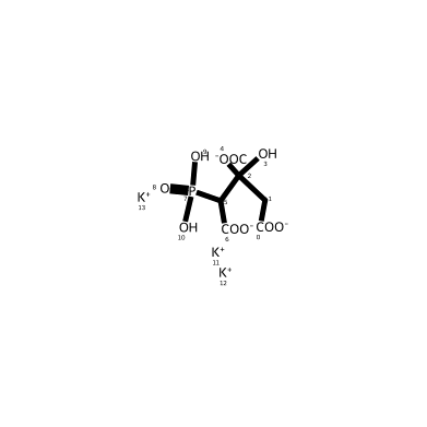 O=C([O-])CC(O)(C(=O)[O-])C(C(=O)[O-])P(=O)(O)O.[K+].[K+].[K+]